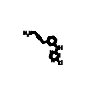 NCC#CCc1cccc(Nc2ncnc(Cl)n2)c1